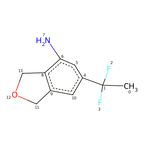 CC(F)(F)c1cc(N)c2c(c1)COC2